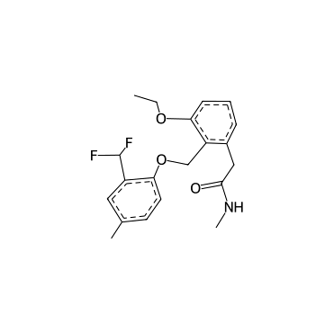 CCOc1cccc(CC(=O)NC)c1COc1ccc(C)cc1C(F)F